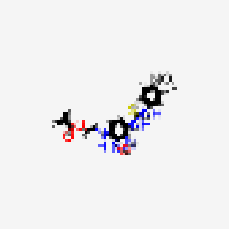 C=C(C)C(=O)OCCNc1ccc(NC(=S)Nc2ccc([N+](=O)[O-])cc2)c2nonc12